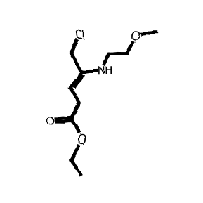 CCOC(=O)CC=C(CCl)NCCOC